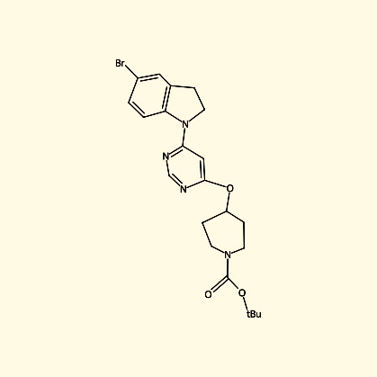 CC(C)(C)OC(=O)N1CCC(Oc2cc(N3CCc4cc(Br)ccc43)ncn2)CC1